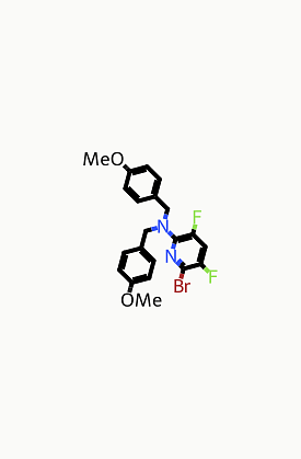 COc1ccc(CN(Cc2ccc(OC)cc2)c2nc(Br)c(F)cc2F)cc1